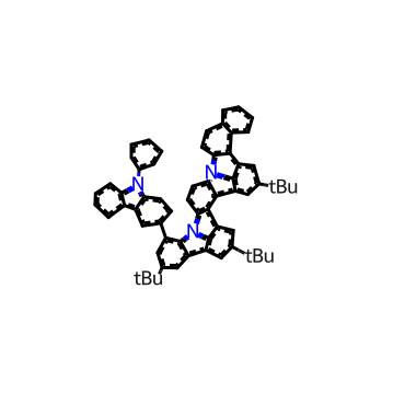 CC(C)(C)c1cc(-c2ccc3c(c2)c2ccccc2n3-c2ccccc2)c2c(c1)c1cc(C(C)(C)C)cc3c4c5c6cc(C(C)(C)C)cc7c8c9ccccc9ccc8n(c5ccc4n2c13)c76